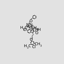 Cc1cc(OCCCc2c3n(c4c(-c5c(C)nc(COCc6ccccc6)nc5C)c(Cl)ccc24)C(C)CNC3=O)cc(C)c1Cl